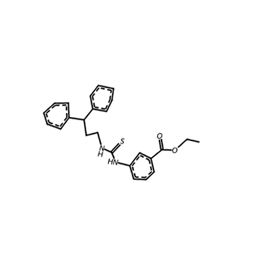 CCOC(=O)c1cccc(NC(=S)NCCC(c2ccccc2)c2ccccc2)c1